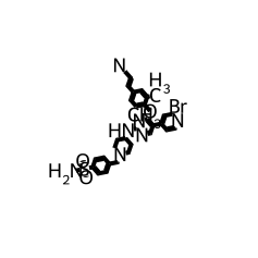 Cc1cc(C=CC#N)cc(C)c1Oc1nc(NC2CCN(Cc3ccc(S(N)(=O)=O)cc3)CC2)ncc1-c1ccnc(Br)c1